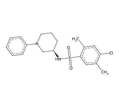 Cc1cc(S(=O)(=O)N[C@@H]2CCCN(c3ccccc3)C2)c(C)cc1Cl